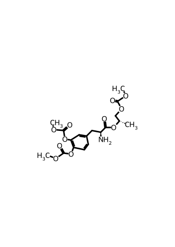 COC(=O)OC[C@H](C)OC(=O)[C@@H](N)Cc1ccc(OC(=O)OC)c(OC(=O)OC)c1